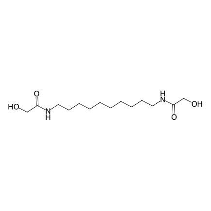 O=C(CO)NCCCCCCCCCCNC(=O)CO